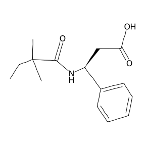 CCC(C)(C)C(=O)N[C@@H](CC(=O)O)c1ccccc1